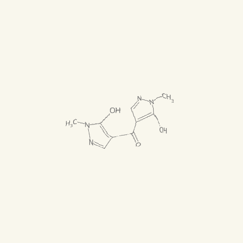 Cn1ncc(C(=O)c2cnn(C)c2O)c1O